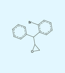 Brc1ccccc1C(c1ccccc1)C1CO1